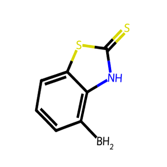 Bc1cccc2sc(=S)[nH]c12